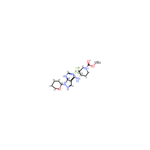 CC(C)(C)OC(=O)N1CC[C@H](Nc2ncnc3c2cnn3C2CCCCO2)C(F)(F)C1